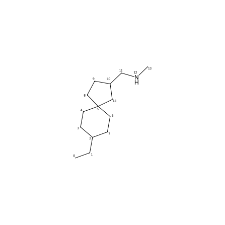 CCC1CCC2(CC1)CCC(CNC)C2